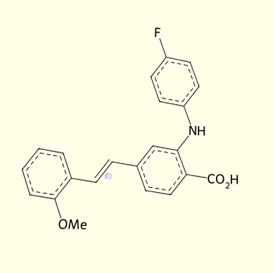 COc1ccccc1/C=C/c1ccc(C(=O)O)c(Nc2ccc(F)cc2)c1